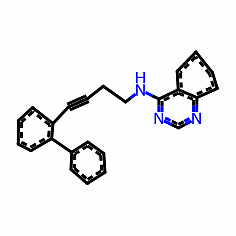 C(#Cc1ccccc1-c1ccccc1)CCNc1ncnc2ccccc12